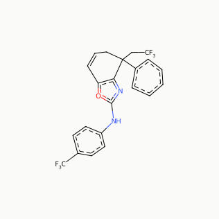 FC(F)(F)CC1(c2ccccc2)CC=Cc2oc(Nc3ccc(C(F)(F)F)cc3)nc21